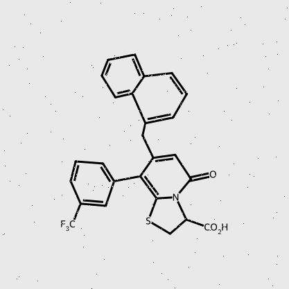 O=C(O)C1CSc2c(-c3cccc(C(F)(F)F)c3)c(Cc3cccc4ccccc34)cc(=O)n21